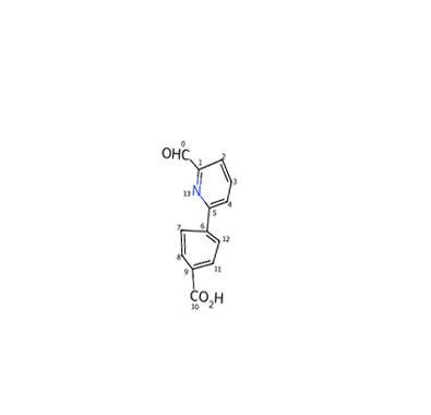 O=Cc1cccc(-c2ccc(C(=O)O)cc2)n1